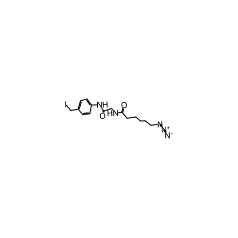 [N-]=[N+]=NCCCCCC(=O)NCC(=O)Nc1ccc(CI)cc1